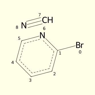 Brc1ccccn1.C#N